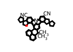 CC1(C)c2cc3c4c5c(c(C#N)cc4n4c6cc(C#N)c7c(c6c(c2-c2cccc6cccc1c26)c34)C1(CCCC1)CC71CCCC1)CC1(CCCC1)C5